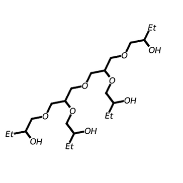 CCC(O)COCC(COCC(COCC(O)CC)OCC(O)CC)OCC(O)CC